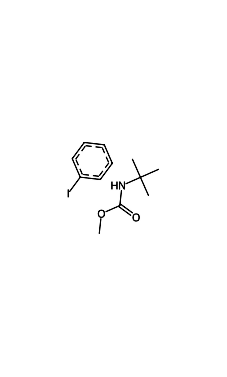 COC(=O)NC(C)(C)C.Ic1ccccc1